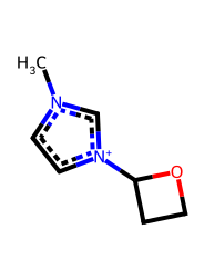 Cn1cc[n+](C2CCO2)c1